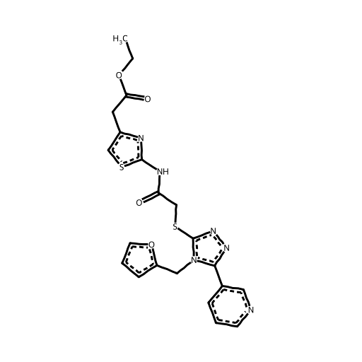 CCOC(=O)Cc1csc(NC(=O)CSc2nnc(-c3cccnc3)n2Cc2ccco2)n1